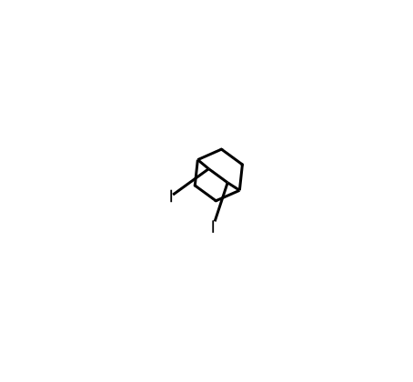 IC1C2CCC(CC2)C1I